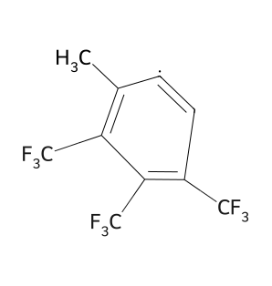 Cc1[c]cc(C(F)(F)F)c(C(F)(F)F)c1C(F)(F)F